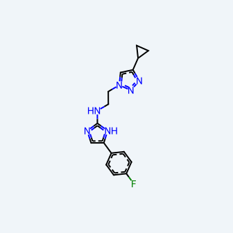 Fc1ccc(-c2cnc(NCCn3cc(C4CC4)nn3)[nH]2)cc1